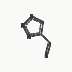 S=Cc1csnn1